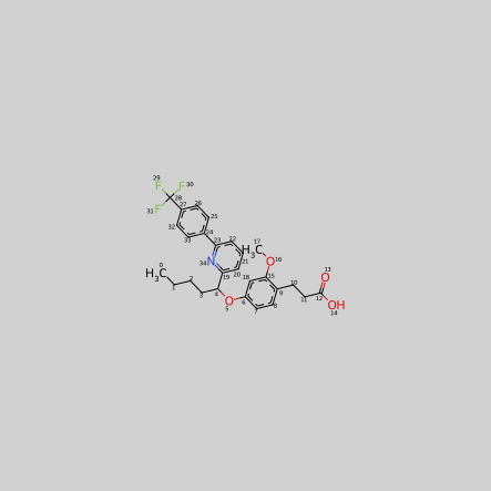 CCCCC(Oc1ccc(CCC(=O)O)c(OC)c1)c1cccc(-c2ccc(C(F)(F)F)cc2)n1